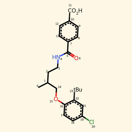 CC(CCNC(=O)c1ccc(C(=O)O)cc1)COc1ccc(Cl)cc1C(C)(C)C